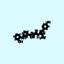 CC(C)[C@H]1CC[C@H](n2cc(NC(=O)c3coc(-c4ccnc(N[C@H]5CCCC[C@H]5O)c4)n3)c(C(F)F)n2)CC1